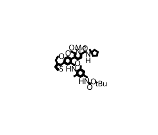 COC(=O)c1nc(C(=O)NC2(C)CCCC2)ccc1-c1cc2c(cc1C(=O)Nc1c(C)cc(CNC(=O)OC(C)(C)C)cc1C)-c1sccc1CCO2